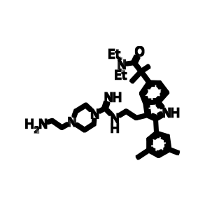 CCN(CC)C(=O)C(C)(C)c1ccc2[nH]c(-c3cc(C)cc(C)c3)c(CCNC(=N)N3CCN(CCN)CC3)c2c1